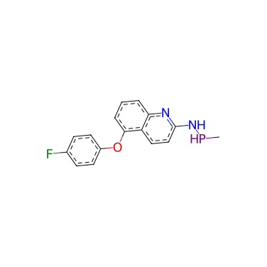 CPNc1ccc2c(Oc3ccc(F)cc3)cccc2n1